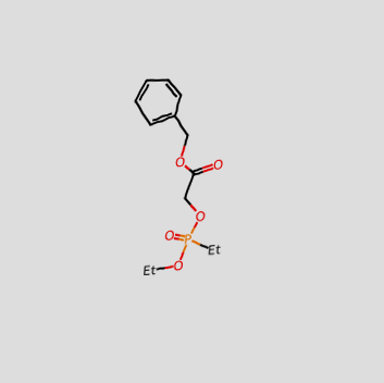 CCOP(=O)(CC)OCC(=O)OCc1ccccc1